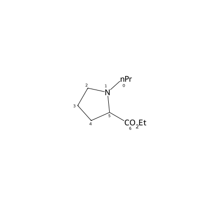 [CH2]CCN1CCCC1C(=O)OCC